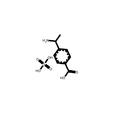 CC(N)c1ccc(C(=O)O)cc1.O=S(=O)(O)O